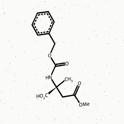 COC(=O)C[C@@](C)(NC(=O)OCc1ccccc1)C(=O)O